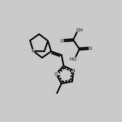 Cc1cnc(/C=C2\CN3CCC2C3)o1.O=C(O)C(=O)O